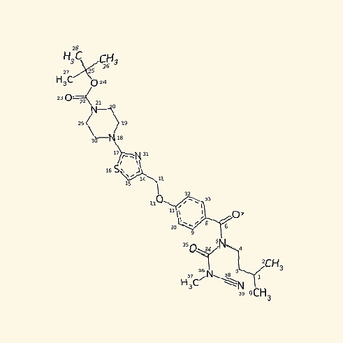 CC(C)CCN(C(=O)c1ccc(OCc2csc(N3CCN(C(=O)OC(C)(C)C)CC3)n2)cc1)C(=O)N(C)C#N